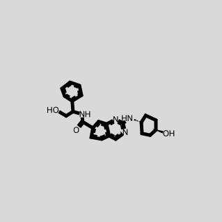 O=C(NC(CO)c1ccccc1)c1ccc2cnc(N[C@H]3CC[C@H](O)CC3)nc2c1